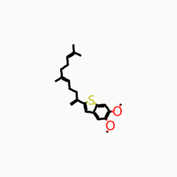 C=C(CC/C=C(\C)CCC=C(C)C)c1cc2cc(OC)c(OC)cc2s1